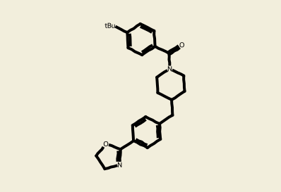 CC(C)(C)c1ccc(C(=O)N2CCC(Cc3ccc(C4=NCCO4)cc3)CC2)cc1